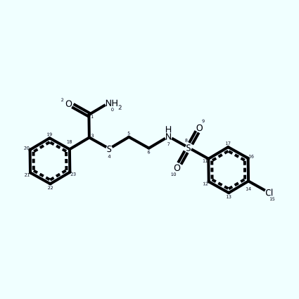 NC(=O)C(SCCNS(=O)(=O)c1ccc(Cl)cc1)c1ccccc1